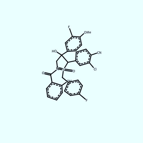 COc1ccc(C(O)(CNC(=O)c2ccccc2O)C(c2ccc(C#N)c(Cl)c2)S(=O)(=O)Cc2ccc(F)cc2)cc1F